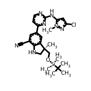 Cn1nc(Cl)cc1Nc1nccc(-c2cc(C#N)c3c(c2)[C@@](C)(CO[Si](C)(C)C(C)(C)C)CN3)n1